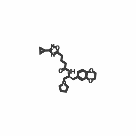 O=C(CCCc1nc(C2CC2)no1)N[C@@H](Cc1ccc2c(c1)OCCO2)CN1CCCC1